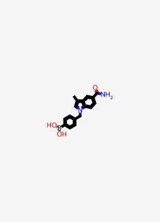 Cc1cn(Cc2ccc(B(O)O)cc2)c2ccc(C(N)=O)cc12